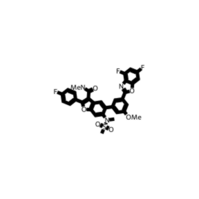 CNC(=O)c1c(-c2ccc(F)cc2)oc2cc(N(C)S(C)(=O)=O)c(-c3cc(OC)cc(-c4nc5c(F)cc(F)cc5o4)c3)cc12